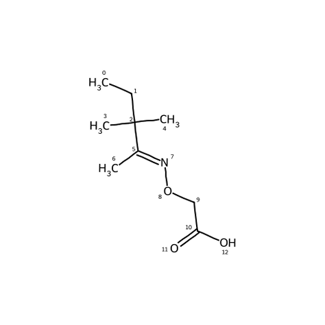 CCC(C)(C)C(C)=NOCC(=O)O